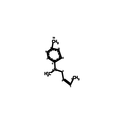 C/C=C\CN(C)c1ccc(C)cc1